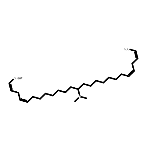 CCCC/C=C\C/C=C\CCCCCCCC(CCCCCCC/C=C\C/C=C\CCCCC)N(C)C